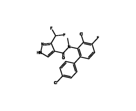 CN(C(=O)c1c[nH]nc1C(F)F)c1c(-c2ccc(Cl)cc2)ccc(F)c1Cl